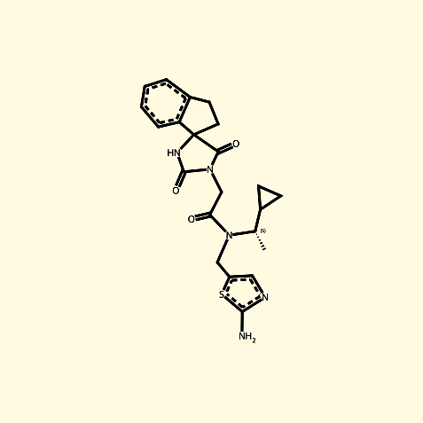 C[C@@H](C1CC1)N(Cc1cnc(N)s1)C(=O)CN1C(=O)NC2(CCc3ccccc32)C1=O